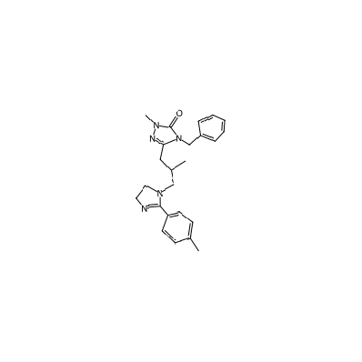 Cc1ccc(C2=NCCN2CC(C)Cc2nn(C)c(=O)n2Cc2ccccc2)cc1